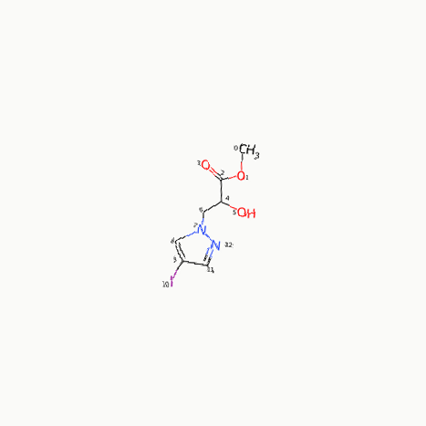 COC(=O)C(O)Cn1cc(I)cn1